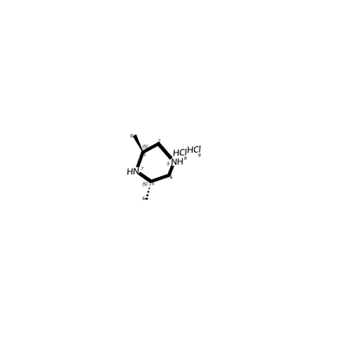 C[C@H]1CNC[C@H](C)N1.Cl.Cl